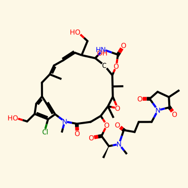 C/C1=C\C=C\C(CO)C2(O)CC(OC(=O)N2)C(C)C2OC2(C)C(OC(=O)[C@H](C)N(C)C(=O)CCCN2C(=O)CC(C)C2=O)CC(=O)N(C)c2cc(cc(CO)c2Cl)C1